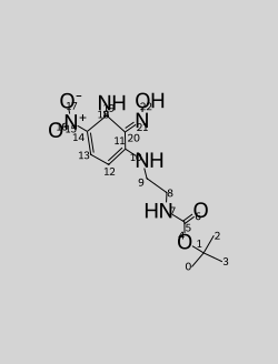 CC(C)(C)OC(=O)NCCNC1=CC=C([N+](=O)[O-])C(=N)/C1=N\O